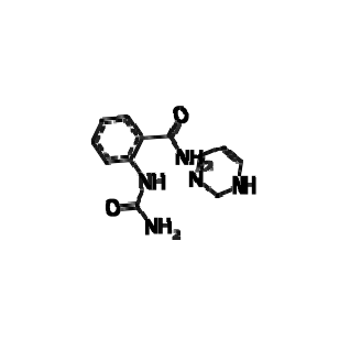 C1=CNCN=C1.NC(=O)Nc1ccccc1C(N)=O